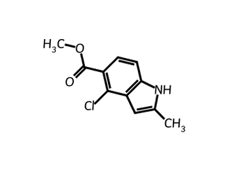 COC(=O)c1ccc2[nH]c(C)cc2c1Cl